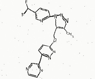 Cc1nnn(-c2ccc(C(F)F)cn2)c1COc1ccc(-c2cnccn2)nn1